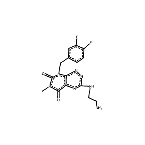 Cn1c(=O)c2nc(NCCN)nnc2n(Cc2ccc(F)c(F)c2)c1=O